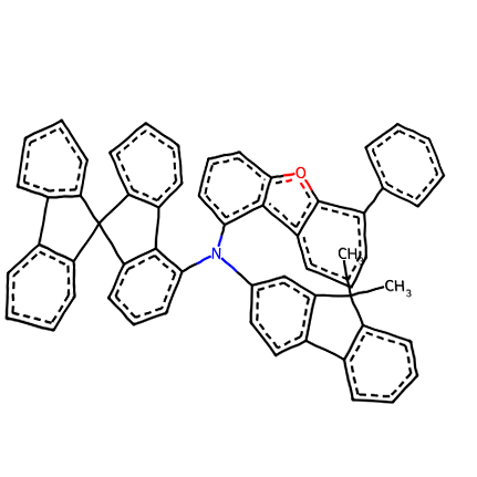 CC1(C)c2ccccc2-c2ccc(N(c3cccc4c3-c3ccccc3C43c4ccccc4-c4ccccc43)c3cccc4oc5c(-c6ccccc6)cccc5c34)cc21